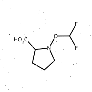 O=C(O)C1CCCN1OC(F)F